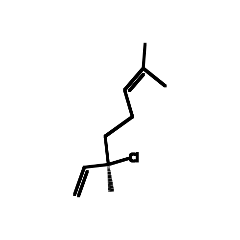 C=C[C@](C)(Cl)CCC=C(C)C